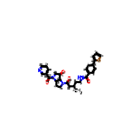 CC(CCNC(=O)c1ccc(-c2cccs2)cc1)CC(=O)N1CCC2C1C(=O)CN2C(=O)c1cccnc1